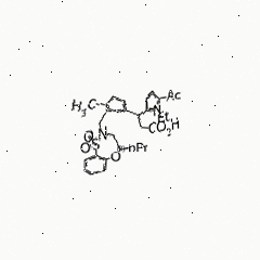 CCC[C@@H]1CN(Cc2cc(C(CC(=O)O)c3ccc(C(C)=O)n3CC)ccc2C)S(=O)(=O)c2ccccc2O1